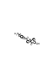 Nc1nc2ccc(CNC(=O)c3cccn4c(C(=O)N5CC[C@@H](O)C5)c(-c5ccsc5)nc34)cc2s1